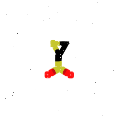 O=S(=O)=C1CS1